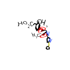 Cc1cc(OCCc2nc(-c3ccc(Sc4ccccc4)nc3)oc2C)ccc1CCC(=O)O